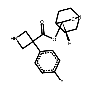 O=C(O[C@H]1CN2CCC1CC2)C1(c2ccc(F)cc2)CNC1